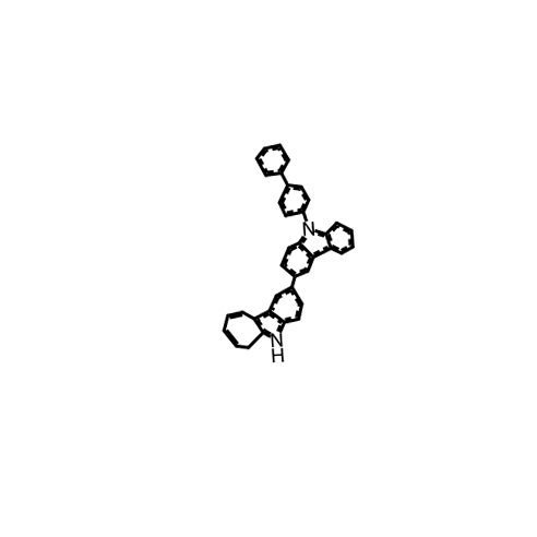 C1=CCc2[nH]c3ccc(-c4ccc5c(c4)c4ccccc4n5-c4ccc(-c5ccccc5)cc4)cc3c2C=C1